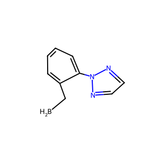 BCc1ccccc1-n1nccn1